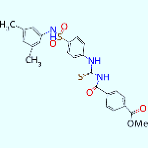 COC(=O)c1ccc(C(=O)NC(=S)Nc2ccc(S(=O)(=O)Nc3cc(C)cc(C)c3)cc2)cc1